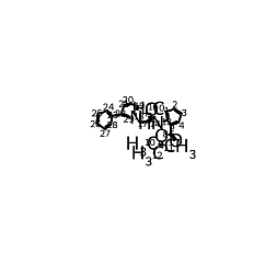 Cc1cccc(C(=O)OC(C)(C)C)c1NC(=O)C[n+]1cccc(-c2ccccc2)c1